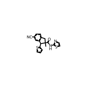 CC1(C(=O)Nc2nccs2)Cc2ccc(C#N)cc2C1c1cccs1